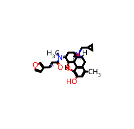 Cc1cc(O)c2c3c1C[C@@H]1[C@@H]4CC[C@@H](N(C)C(=O)/C=C/c5ccoc5)[C@H](O2)[C@]34CCN1CC1CC1